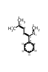 C=N/C(=C\C=C(C)C)c1ccccc1